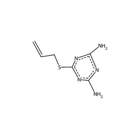 C=CCSc1nc(N)nc(N)n1